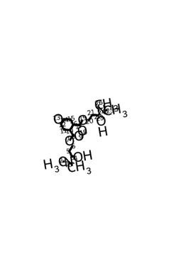 CN(C)C(O)CCOC(=O)C1CC2OC2CC1C(=O)OCCC(O)N(C)C